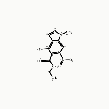 C=C(OCC)c1c([N+](=O)[O-])cc2c(cnn2C)c1F